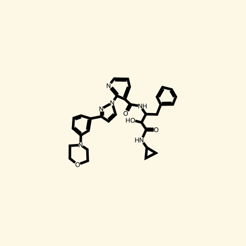 O=C(NC(Cc1ccccc1)C(O)C(=O)NC1CC1)c1cccnc1-n1ccc(-c2cccc(N3CCOCC3)c2)n1